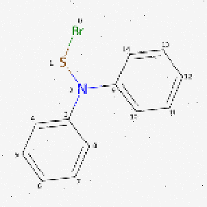 BrSN(c1ccccc1)c1ccccc1